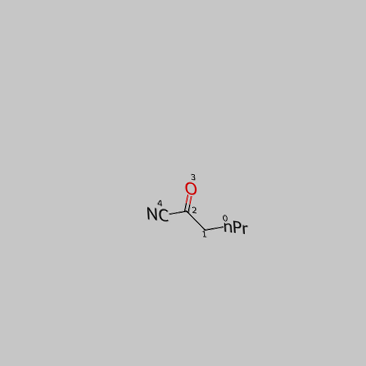 CCCCC(=O)C#N